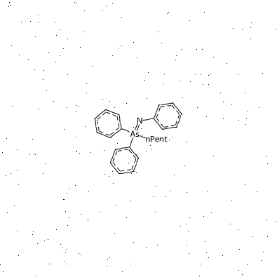 CCCCC[As](=Nc1ccccc1)(c1ccccc1)c1ccccc1